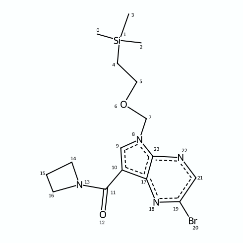 C[Si](C)(C)CCOCn1cc(C(=O)N2CCC2)c2nc(Br)cnc21